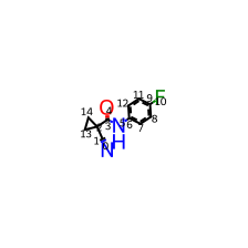 N#CC1(C(=O)Nc2ccc(F)cc2)CC1